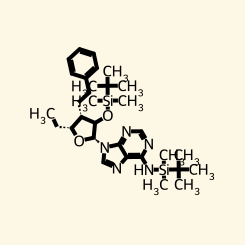 CC[C@H]1O[C@@H](n2cnc3c(N[Si](C)(C)C(C)(C)C)ncnc32)C(O[Si](C)(C)C(C)(C)C)[C@H]1CCc1ccccc1